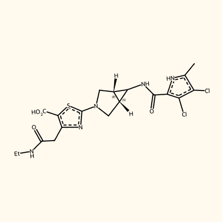 CCNC(=O)Cc1nc(N2C[C@@H]3C(NC(=O)c4[nH]c(C)c(Cl)c4Cl)[C@@H]3C2)sc1C(=O)O